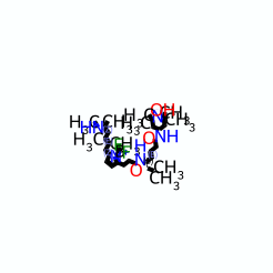 CN\C(C)=C/C(C)=C(C)/C=C1/C=CC(CCC(=O)N[C@H](/C=C/CC(=O)NC2CC(C)(C)N(O)C(C)(C)C2)CC(C)C)=[N+]1B(F)F